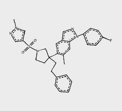 Cc1cc2c(cnn2-c2ccc(F)cc2)cc1C1(CCc2ccccc2)CCN(S(=O)(=O)c2cnn(C)c2)C1